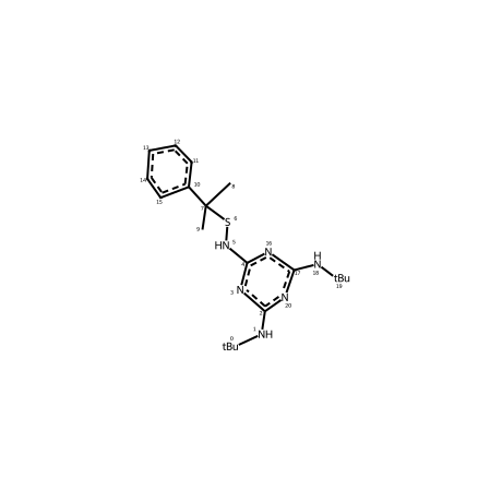 CC(C)(C)Nc1nc(NSC(C)(C)c2ccccc2)nc(NC(C)(C)C)n1